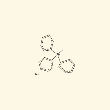 C[PH](c1ccccc1)(c1ccccc1)c1ccccc1.[Au]